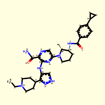 C[C@@H]1[C@H](NC(=O)c2ccc(C3CC3)cc2)CCCN1c1cnc(C(N)=O)c(Nc2c[nH]nc2C2CCN(CC(F)(F)F)CC2)n1